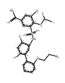 NCCOc1ccccc1-c1cc(NS(=O)(=O)c2cc(C(=O)O)cc(Cl)c2OC(F)F)c(F)cc1F